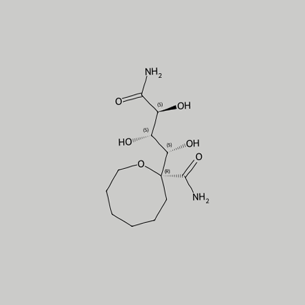 NC(=O)[C@@H](O)[C@@H](O)[C@H](O)[C@@]1(C(N)=O)CCCCCCO1